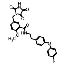 COc1ccc(CN2C(=O)NC(=O)C2=O)cc1C(=O)NCCc1ccc(Oc2ccc(F)cc2)cc1